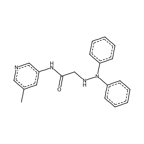 Cc1cncc(NC(=O)CNN(c2ccccc2)c2ccccc2)c1